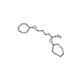 [CH2]CCC(CCCCOC1CCCCCC1)OC1CCCCCC1